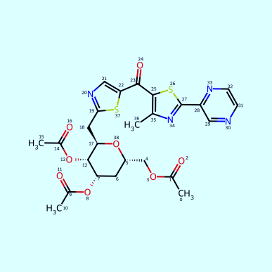 CC(=O)OC[C@@H]1C[C@H](OC(C)=O)[C@H](OC(C)=O)[C@@H](Cc2ncc(C(=O)c3sc(-c4cnccn4)nc3C)s2)O1